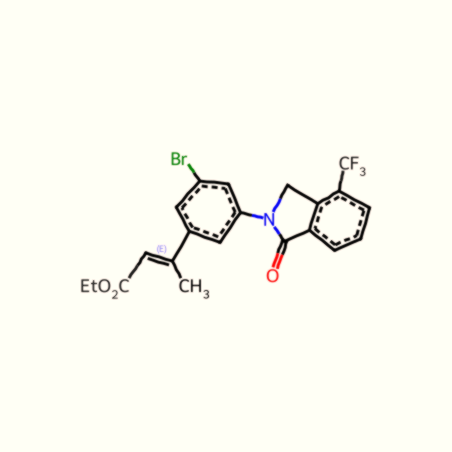 CCOC(=O)/C=C(\C)c1cc(Br)cc(N2Cc3c(cccc3C(F)(F)F)C2=O)c1